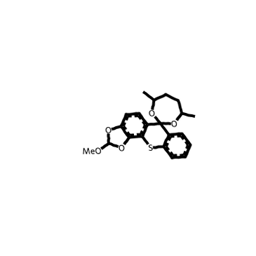 COC1Oc2ccc3c(c2O1)Sc1ccccc1C31OC(C)CCC(C)O1